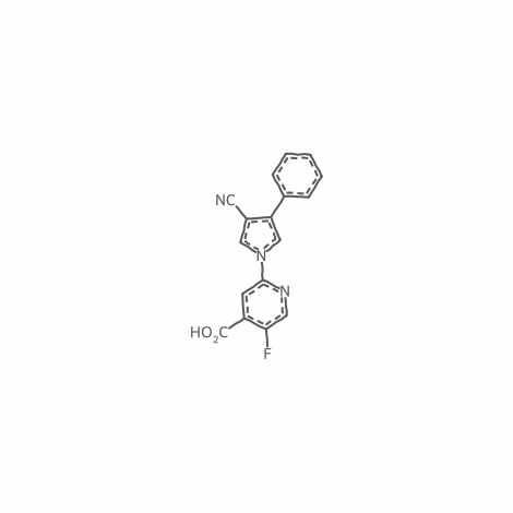 N#Cc1cn(-c2cc(C(=O)O)c(F)cn2)cc1-c1ccccc1